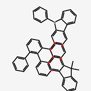 CC1(C)c2ccccc2-c2ccc(N(c3ccc4c5ccccc5n(-c5ccccc5)c4c3)c3cccc(-c4ccccc4)c3-c3ccccc3-c3ccccc3)cc21